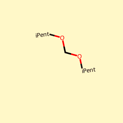 CCCC(C)OCOC(C)CCC